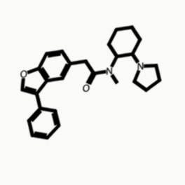 CN(C(=O)Cc1ccc2occ(-c3ccccc3)c2c1)C1CCCCC1N1CCCC1